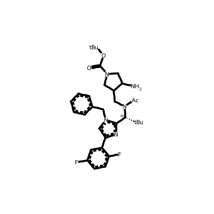 CC(=O)N(CC1CN(C(=O)OC(C)(C)C)CC1N)[C@@H](c1nc(-c2cc(F)ccc2F)cn1Cc1ccccc1)C(C)(C)C